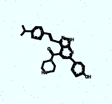 CC(C)c1ccc(C=Cc2n[nH]c3nc(-c4ccc(O)cc4)cc(C(=O)N4CCNCC4)c23)cc1